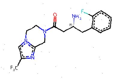 N[C@@H](CC(=O)N1CCn2cc(C(F)(F)F)nc2C1)Cc1ccccc1F